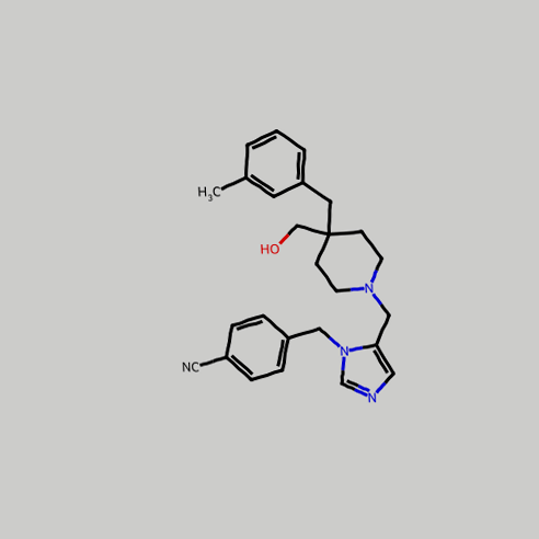 Cc1cccc(CC2(CO)CCN(Cc3cncn3Cc3ccc(C#N)cc3)CC2)c1